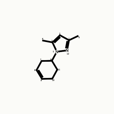 Cc1cc(C)n(C2CC=CCC2)n1